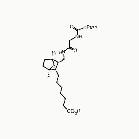 CCCCCC(=O)NCC(=O)NC[C@H]1[C@@H](CCCCCCC(=O)O)[C@H]2CC[C@@H]1S2